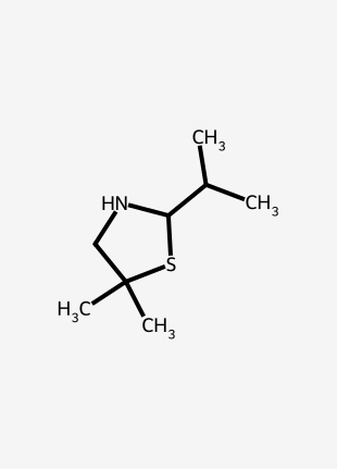 CC(C)C1NCC(C)(C)S1